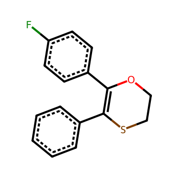 Fc1ccc(C2=C(c3ccccc3)SCCO2)cc1